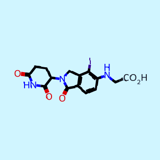 O=C(O)CNc1ccc2c(c1I)CN(C1CCC(=O)NC1=O)C2=O